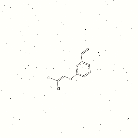 O=Cc1cccc(OC=C(Cl)Cl)c1